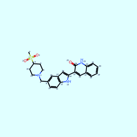 CS(=O)(=O)C1CCN(Cc2ccc3[nH]c(-c4cc5ccccc5[nH]c4=O)cc3c2)CC1